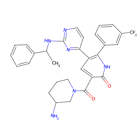 CC(Nc1nccc(-c2cc(C(=O)N3CCCC(N)C3)c(=O)[nH]c2-c2cccc(C(F)(F)F)c2)n1)c1ccccc1